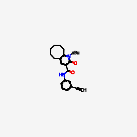 C#Cc1cccc(NC(=O)c2cc3c(n(CCCC)c2=O)CCCCCC3)c1